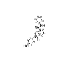 O=C(NC1CCC(O)CC1)[C@H]1CCCN(C(=O)NC2CCCCC2)C1